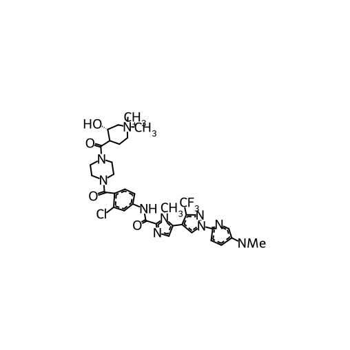 CNc1ccc(-n2cc(-c3cnc(C(=O)Nc4ccc(C(=O)N5CCN(C(=O)C6CC[N+](C)(C)C[C@H]6O)CC5)c(Cl)c4)n3C)c(C(F)(F)F)n2)nc1